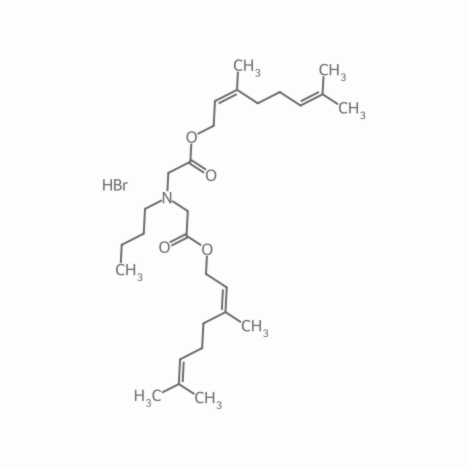 Br.CCCCN(CC(=O)OCC=C(C)CCC=C(C)C)CC(=O)OCC=C(C)CCC=C(C)C